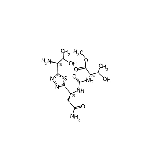 C=C(O)[C@H](N)c1nnc([C@H](CC(N)=O)NC(=O)N[C@H](C(=O)OC)C(C)O)s1